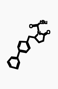 CC(C)(C)C(=O)N1C(=O)CCC1Cc1ccc(-c2ccccc2)cc1